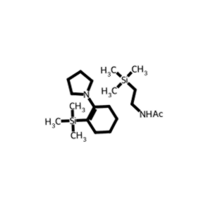 CC(=O)NCC[Si](C)(C)C.C[Si](C)(C)C1=C(N2CCCC2)CCCC1